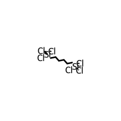 Cl[Si](Cl)(Cl)CCCCCC[Si](Cl)(Cl)Cl